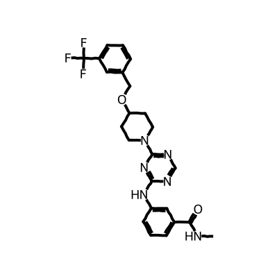 CNC(=O)c1cccc(Nc2ncnc(N3CCC(OCc4cccc(C(F)(F)F)c4)CC3)n2)c1